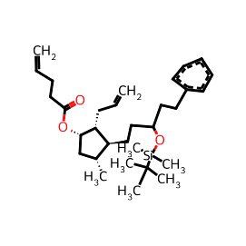 C=CCCC(=O)O[C@H]1C[C@@H](C)[C@H](CCC(CCc2ccccc2)O[Si](C)(C)C(C)(C)C)[C@H]1CC=C